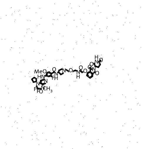 COc1cc(C(=O)NC2CCN(CCOCCNC(=O)COc3cccc4c3C(=O)N(C3CCC(=O)NC3=O)C4=O)CC2)c(F)cc1Nc1cc2c(cn1)N(C)C(=O)C(F)(F)CN2C1CCCC1